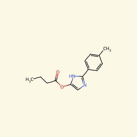 CCCC(=O)Oc1cnc(-c2ccc(C)cc2)[nH]1